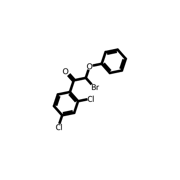 O=C(c1ccc(Cl)cc1Cl)C(Br)Oc1ccccc1